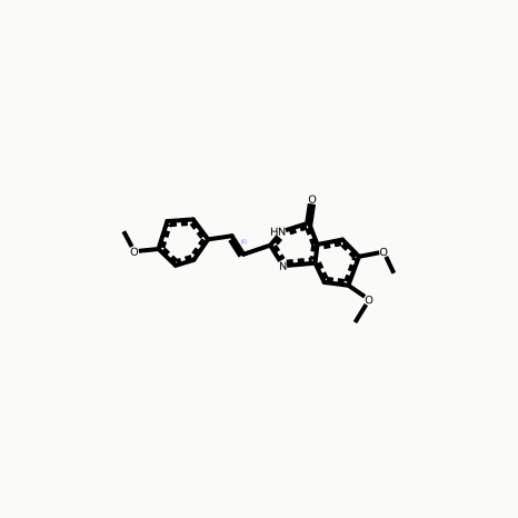 COc1ccc(/C=C/c2nc3cc(OC)c(OC)cc3c(=O)[nH]2)cc1